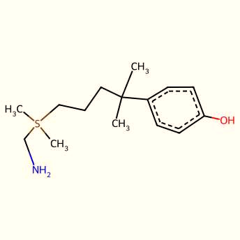 CC(C)(CCCS(C)(C)CN)c1ccc(O)cc1